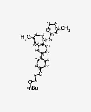 CCCCOCCOc1ccc(-c2ccc3c(c2)C=C(C)CCN3CC2CN(C)CCO2)cc1